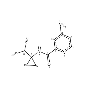 Nc1ccnc(C(=O)NC2(C(F)F)CC2)c1